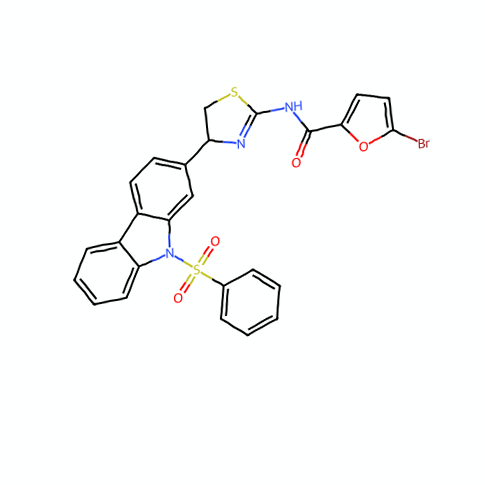 O=C(NC1=NC(c2ccc3c4ccccc4n(S(=O)(=O)c4ccccc4)c3c2)CS1)c1ccc(Br)o1